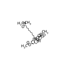 CC(=O)Oc1ccc2c(c1)CC[C@@H]1[C@@H]2[C@@H](CCCCCCCCCCC(=O)N(C)C)C[C@]2(C)[C@@H](OC(C)=O)CC[C@@H]12